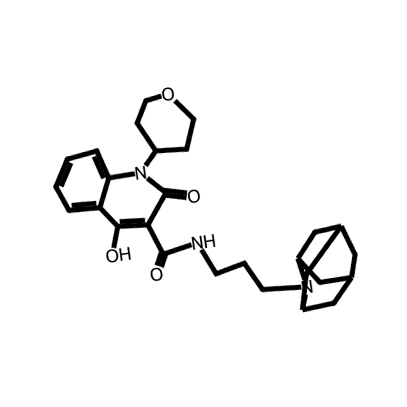 O=C(NCCCN1C2CC3CC(C2)CC1C3)c1c(O)c2ccccc2n(C2CCOCC2)c1=O